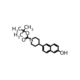 CC(C)(C)OC(=O)N1CCC(c2ccc3cc(O)ccc3c2)CC1